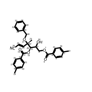 Cc1ccc(C(=O)OCC(O)[C@@H](OC(=O)c2ccc(C)cc2)[C@](C)(C=CC#N)OCc2ccccc2)cc1